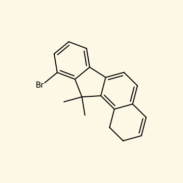 CC1(C)c2c(Br)cccc2-c2ccc3c(c21)CCC=C3